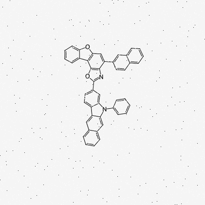 c1ccc(-n2c3cc(-c4nc5c(-c6ccc7ccccc7c6)cc6oc7ccccc7c6c5o4)ccc3c3cc4ccccc4cc32)cc1